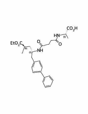 CCOC(=O)[C@H](C)C[C@@H](Cc1ccc(-c2ccccc2)cc1)NC(=O)CCC(=O)N[C@@H](C)C(=O)O